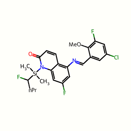 CCCC(F)[Si](C)(C)n1c(=O)ccc2c(N=Cc3cc(Cl)cc(F)c3OC)cc(F)cc21